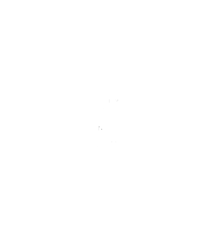 CCCCCCN1CCOC1=O